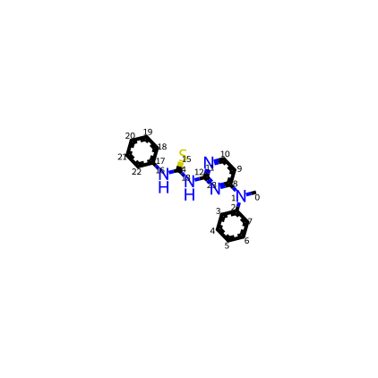 CN(c1ccccc1)c1ccnc(NC(=S)Nc2ccccc2)n1